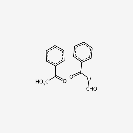 O=C(O)C(=O)c1ccccc1.O=COC(=O)c1ccccc1